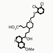 COc1ccc2nccc([C@@H](O)CCC3CCN(CCSc4cccc(Cl)c4Cl)CC3CCC(=O)O)c2c1